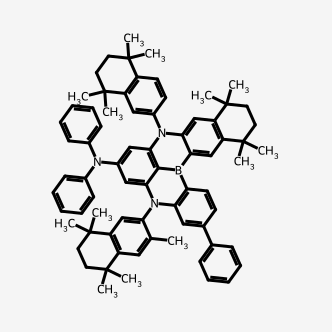 Cc1cc2c(cc1N1c3cc(-c4ccccc4)ccc3B3c4cc5c(cc4N(c4ccc6c(c4)C(C)(C)CCC6(C)C)c4cc(N(c6ccccc6)c6ccccc6)cc1c43)C(C)(C)CCC5(C)C)C(C)(C)CCC2(C)C